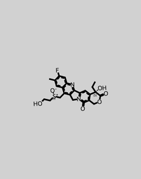 CC[C@@]1(O)C(=O)OCc2c1cc1n(c2=O)Cc2c-1nc1cc(F)c(C)cc1c2C[S@@+]([O-])CCO